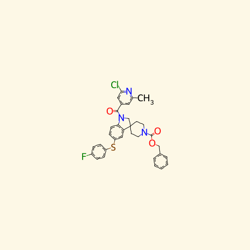 Cc1cc(C(=O)N2CC3(CCN(C(=O)OCc4ccccc4)CC3)c3cc(Sc4ccc(F)cc4)ccc32)cc(Cl)n1